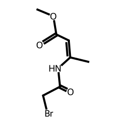 COC(=O)C=C(C)NC(=O)CBr